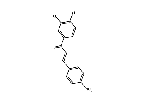 O=C(C=Cc1ccc([N+](=O)[O-])cc1)c1ccc(Cl)c(Cl)c1